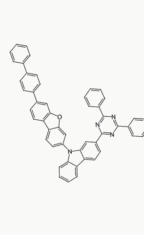 c1ccc(-c2ccc(-c3ccc4c(c3)oc3cc(-n5c6ccccc6c6ccc(-c7nc(-c8ccccc8)nc(-c8ccccc8)n7)cc65)ccc34)cc2)cc1